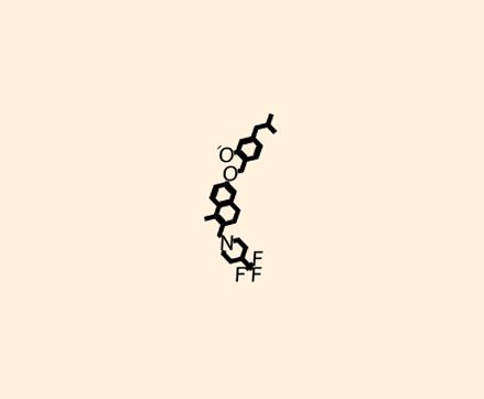 COc1cc(CC(C)C)ccc1COc1ccc2c(c1)CCC(CN1CCC(C(F)(F)F)CC1)=C2C